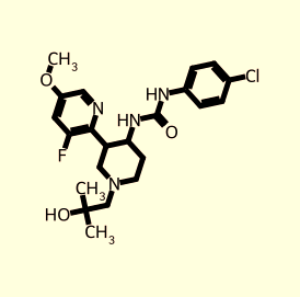 COc1cnc(C2CN(CC(C)(C)O)CCC2NC(=O)Nc2ccc(Cl)cc2)c(F)c1